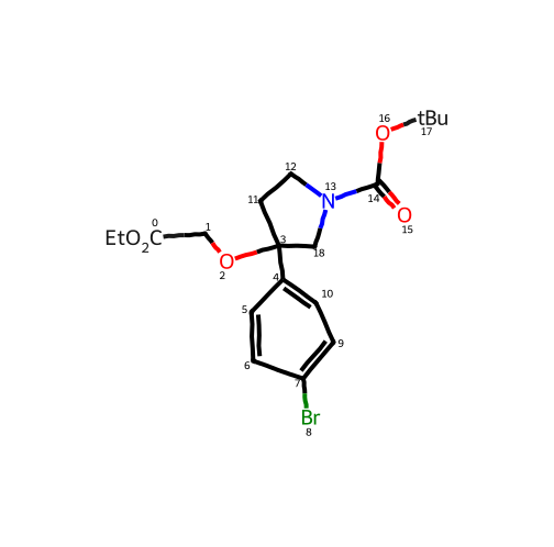 CCOC(=O)COC1(c2ccc(Br)cc2)CCN(C(=O)OC(C)(C)C)C1